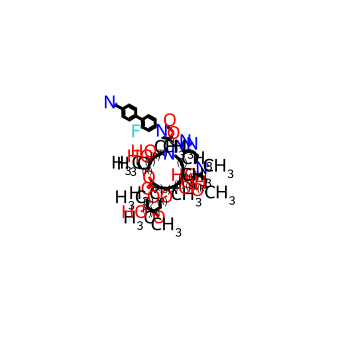 CC[C@H]1OC(=O)[C@H](C)[C@@H](O[C@H]2C[C@@](C)(OC)[C@@H](O)[C@H](C)O2)[C@H](C)[C@@H](O[C@@H]2O[C@H](C)C[C@H](N(C)CCc3cn(C[C@H]4CN(c5ccc(-c6ccc(C#N)cc6)c(F)c5)C(=O)O4)nn3)[C@H]2O)[C@](C)(O)C[C@@H](C)CN(C)[C@H](C)[C@@H](O)[C@]1(C)O